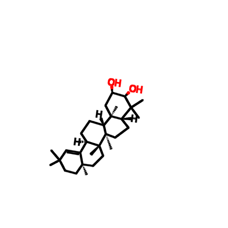 CC1(C)C=C2[C@H]3CC[C@@H]4[C@@]5(C)C[C@@H](O)[C@@H](O)C(C)(C)[C@@H]5CC[C@@]4(C)[C@]3(C)CC[C@@]2(C)CC1